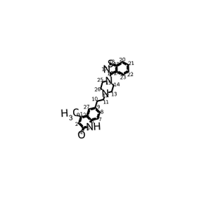 Cc1cc(=O)[nH]c2ccc(CCN3CCN(c4nsc5ccccc45)CC3)cc12